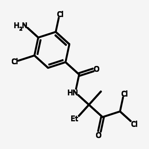 CCC(C)(NC(=O)c1cc(Cl)c(N)c(Cl)c1)C(=O)C(Cl)Cl